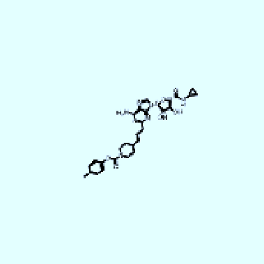 Cc1ccc(OC(=O)N2CCC(CCCc3nc(N)c4ncn([C@@H]5O[C@H](C(=O)NC6CC6)C(O)[C@@H]5O)c4n3)CC2)cc1